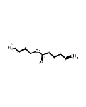 C=CCCCC(=O)OCCCC